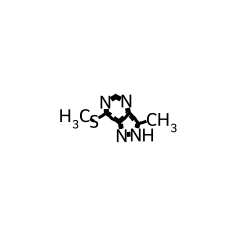 CSc1ncnc2c(C)[nH]nc12